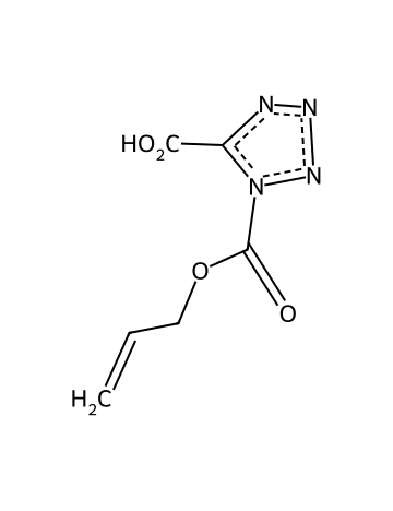 C=CCOC(=O)n1nnnc1C(=O)O